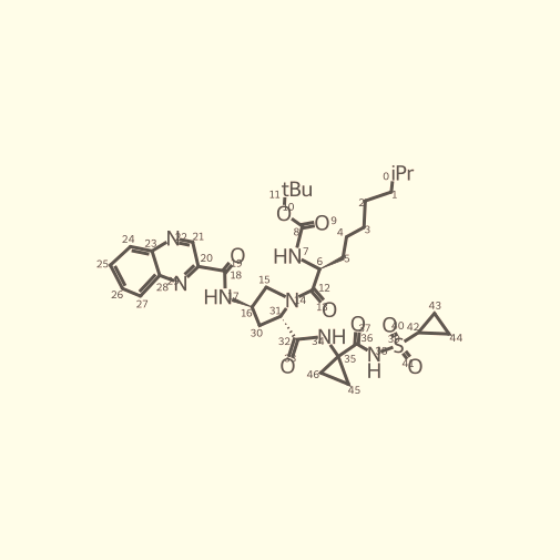 CC(C)CCCCC[C@H](NC(=O)OC(C)(C)C)C(=O)N1C[C@H](NC(=O)c2cnc3ccccc3n2)C[C@H]1C(=O)NC1(C(=O)NS(=O)(=O)C2CC2)CC1